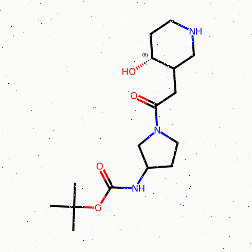 CC(C)(C)OC(=O)NC1CCN(C(=O)CC2CNCC[C@H]2O)C1